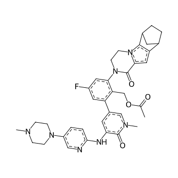 CC(=O)OCc1c(-c2cc(Nc3ccc(N4CCN(C)CC4)cn3)c(=O)n(C)c2)cc(F)cc1N1CCn2c(cc3c2C2CCC3C2)C1=O